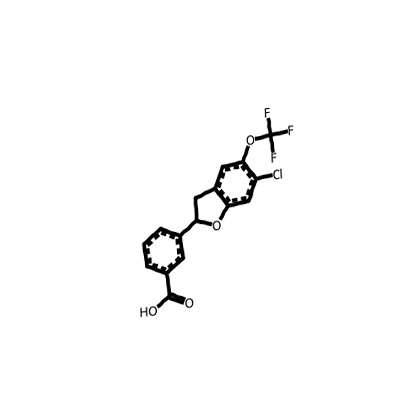 O=C(O)c1cccc(C2Cc3cc(OC(F)(F)F)c(Cl)cc3O2)c1